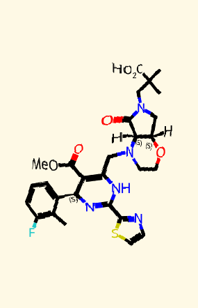 COC(=O)C1=C(CN2CCO[C@H]3CN(CC(C)(C)C(=O)O)C(=O)[C@H]32)NC(c2nccs2)=N[C@H]1c1cccc(F)c1C